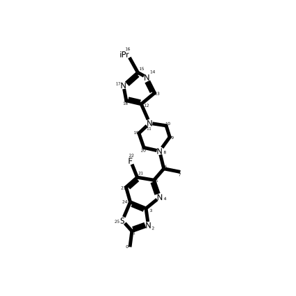 Cc1nc2nc(C(C)N3CCN(c4cnc(C(C)C)nc4)CC3)c(F)cc2s1